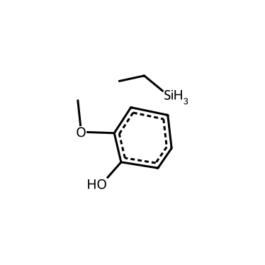 CC[SiH3].COc1ccccc1O